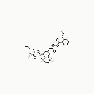 C=CCc1ccccc1C(=O)ONC(=O)CC1=CC(=NOC(CCCC)C(=O)OC)C2C(=C1)C(C)(C)CCC2(C)C